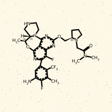 Cc1c(F)c(N)cc(-c2nc3c4c(nc(OC[C@H]5CCCN5CC(=O)N(C)C)nc4c2F)N2CCNC[C@H]2[C@H](C)O3)c1C(F)(F)F